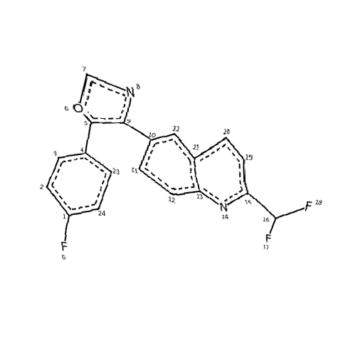 Fc1ccc(-c2ocnc2-c2ccc3nc(C(F)F)ccc3c2)cc1